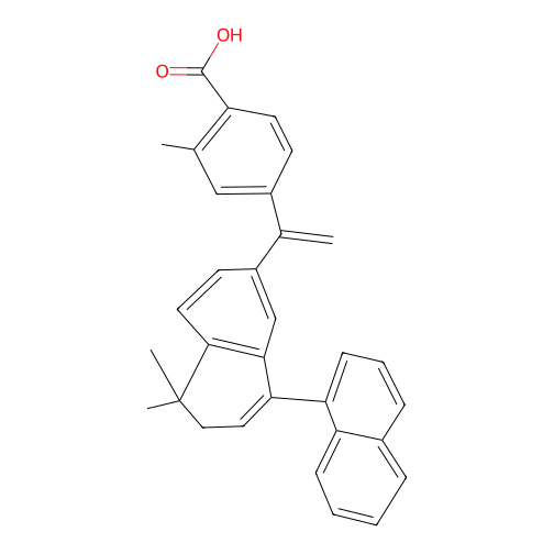 C=C(c1ccc(C(=O)O)c(C)c1)c1ccc2c(c1)C(c1cccc3ccccc13)=CCC2(C)C